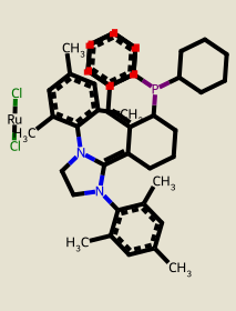 Cc1cc(C)c(N2CCN(c3c(C)cc(C)cc3C)C2=C2CCCC(P(C3CCCCC3)C3CCCCC3)C2=Cc2ccccc2)c(C)c1.[Cl][Ru][Cl]